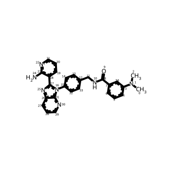 CN(C)c1cccc(C(=O)NCc2ccc(-n3c(-c4cccnc4N)nc4cccnc43)cc2)c1